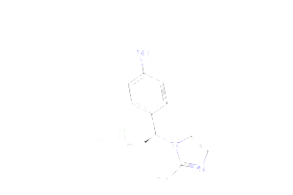 Cc1nccn1[C@@H](C)c1ccc(N)cc1.Cl.Cl